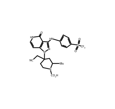 CC(C)(C)C1CC(CC#N)(n2nc(Nc3ccc(S(=O)(=O)C(F)(F)F)cc3)c3c(=O)[nH]ccc32)CCN1C(=O)O